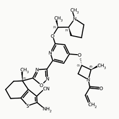 C=CC(=O)N1C[C@H](Oc2cc(O[C@@H](C)[C@@H]3CCCN3C)nc(-c3noc([C@@]4(C)CCCc5sc(N)c(C#N)c54)n3)c2)[C@H]1C